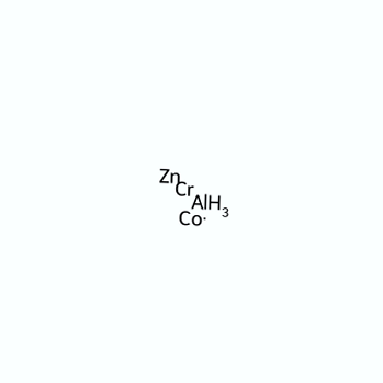 [AlH3].[Co].[Cr].[Zn]